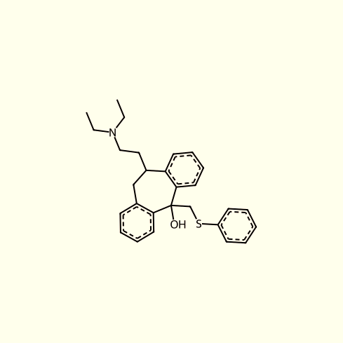 CCN(CC)CCC1Cc2ccccc2C(O)(CSc2ccccc2)c2ccccc21